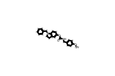 CC(C)Oc1ccc(CNC(=O)Oc2ccc3c(c2)CCN3Cc2ccccc2)cc1